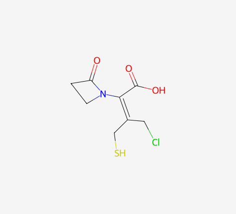 O=C(O)/C(=C(/CS)CCl)N1CCC1=O